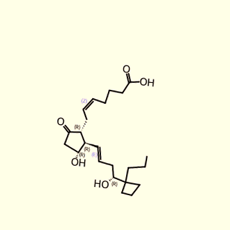 CCCC1([C@H](O)C/C=C/[C@H]2[C@H](O)CC(=O)[C@@H]2C/C=C\CCCC(=O)O)CCC1